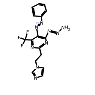 NN=Nc1nc(CCn2ccnc2)nc(C(F)(F)F)c1/N=N/c1ccccc1